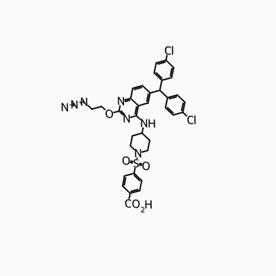 [N-]=[N+]=NCCOc1nc(NC2CCN(S(=O)(=O)c3ccc(C(=O)O)cc3)CC2)c2cc(C(c3ccc(Cl)cc3)c3ccc(Cl)cc3)ccc2n1